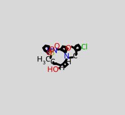 C[C@H]1C/C=C/[C@H](CO)[C@@H]2CC[C@H]2CN2CCCCc3cc(Cl)ccc3COc3ccc(cc32)C(=O)NS(=O)(=O)[C@H]1Cc1ccccc1